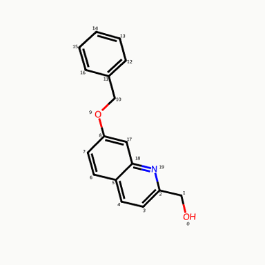 OCc1ccc2ccc(OCc3ccccc3)cc2n1